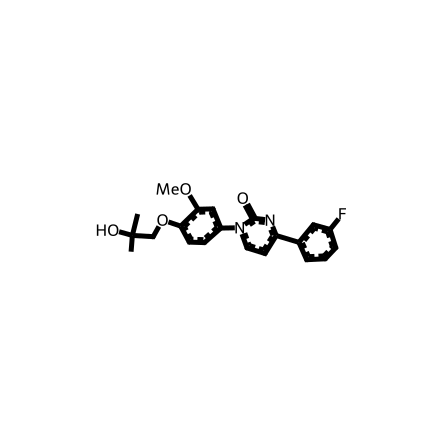 COc1cc(-n2ccc(-c3cccc(F)c3)nc2=O)ccc1OCC(C)(C)O